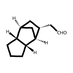 O=CC[C@H]1C[C@H]2C[C@@H]1[C@@H]1CCC[C@H]21